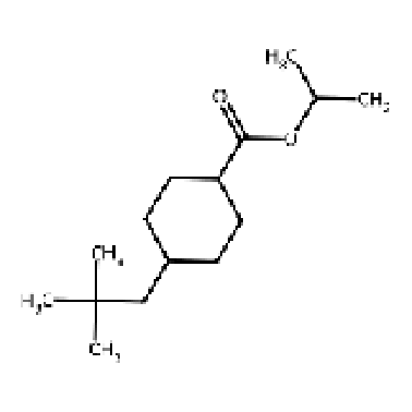 CC(C)OC(=O)C1CCC(CC(C)(C)C)CC1